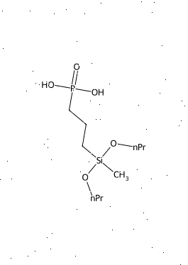 CCCO[Si](C)(CCCP(=O)(O)O)OCCC